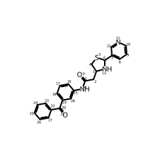 O=C(CC1CSC(c2cccnc2)N1)Nc1cccc(C(=O)c2ccccc2)c1